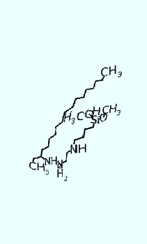 CCCCCCCCCCCCCCCC(N)CC.CO[SiH](CCCCNCCN)OC